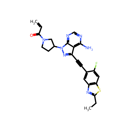 C=CC(=O)N1CCC(n2nc(C#Cc3cc4nc(CC)sc4cc3F)c3c(N)ncnc32)C1